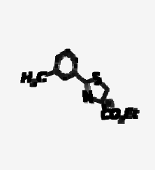 CCOC(=O)[C@@H]1CSC(c2cccc(C)c2)=N1